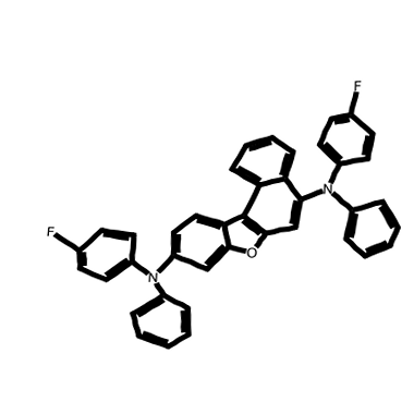 Fc1ccc(N(c2ccccc2)c2ccc3c(c2)oc2cc(N(c4ccccc4)c4ccc(F)cc4)c4ccccc4c23)cc1